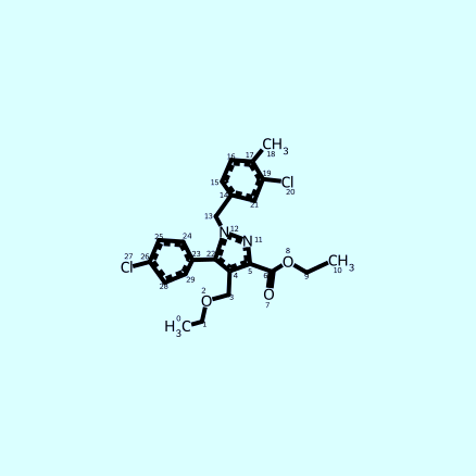 CCOCc1c(C(=O)OCC)nn(Cc2ccc(C)c(Cl)c2)c1-c1ccc(Cl)cc1